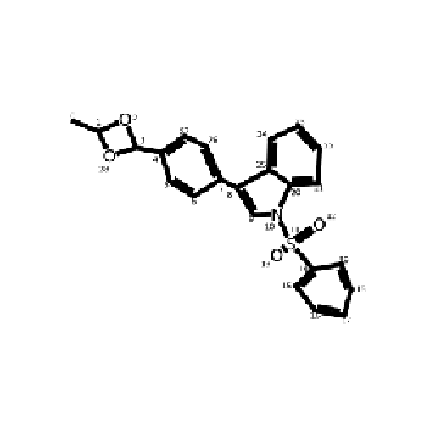 CC1OC(c2ccc(-c3cn(S(=O)(=O)c4ccccc4)c4ccccc34)cc2)O1